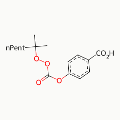 CCCCCC(C)(C)OOC(=O)Oc1ccc(C(=O)O)cc1